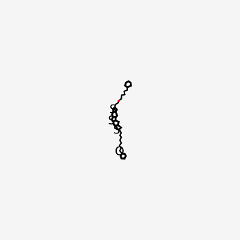 c1ccc(CCCCCCCCc2cc3cc4c(cc3s2)sc2cc3sc(CCCCCCCOc5ccccc5)cc3cc24)cc1